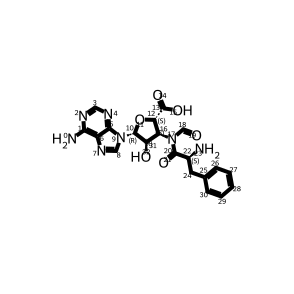 Nc1ncnc2c1ncn2[C@@H]1O[C@H](C(=O)O)[C@@H](N(C=O)C(=O)[C@@H](N)Cc2ccccc2)[C@H]1O